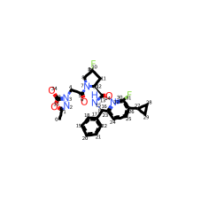 Cc1nn(CC(=O)N2C[C@H](F)C[C@H]2C(=O)N[C@@H](c2ccccc2)c2ccc(C3CC3)c(F)n2)c(=O)o1